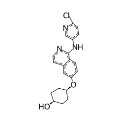 O[C@H]1CC[C@@H](Oc2ccc3c(Nc4ccc(Cl)nc4)nccc3c2)CC1